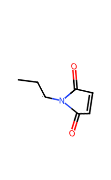 CC[CH]N1C(=O)C=CC1=O